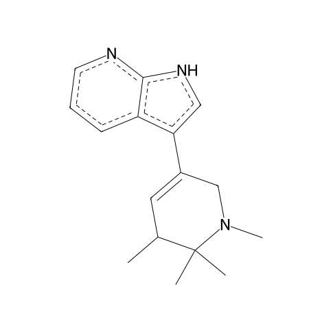 CC1C=C(c2c[nH]c3ncccc23)CN(C)C1(C)C